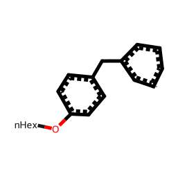 CCCCCCOc1ccc(Cc2c[c]ccc2)cc1